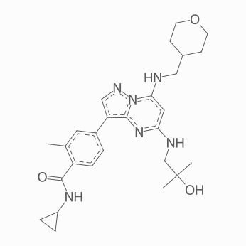 Cc1cc(-c2cnn3c(NCC4CCOCC4)cc(NCC(C)(C)O)nc23)ccc1C(=O)NC1CC1